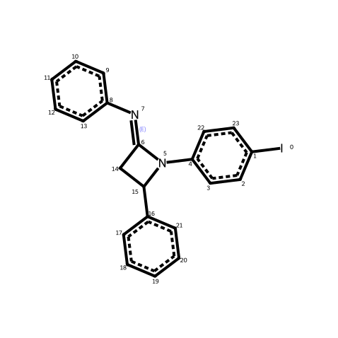 Ic1ccc(N2/C(=N/c3ccccc3)CC2c2ccccc2)cc1